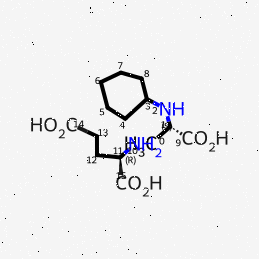 C[C@H](NC1CCCCC1)C(=O)O.N[C@H](CCC(=O)O)C(=O)O